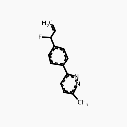 C=CC(F)c1ccc(-c2ccc(C)nn2)cc1